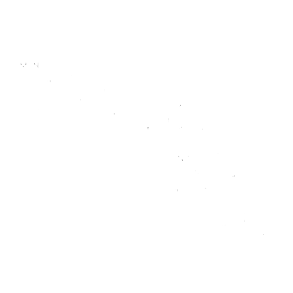 CNC(=O)CCCC=CCC1C2CCC(C2)C1NS(=O)(=O)c1ccc(C)cc1